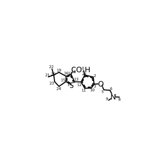 Cc1cc(OCCN(C)C)ccc1-c1sc2c(c1C(=O)O)CC(C)(C)CC2